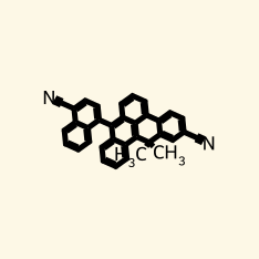 CC1(C)c2cc(C#N)ccc2-c2cccc3c(-c4ccc(C#N)c5ccccc45)c4ccccc4c1c23